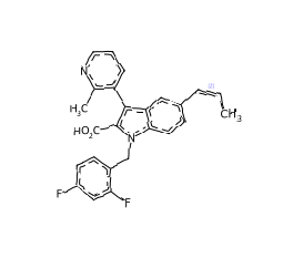 C/C=C\c1ccc2c(c1)c(-c1cccnc1C)c(C(=O)O)n2Cc1ccc(F)cc1F